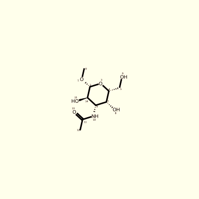 CO[C@@H]1O[C@H](CO)[C@H](O)[C@H](NC(C)=O)[C@H]1O